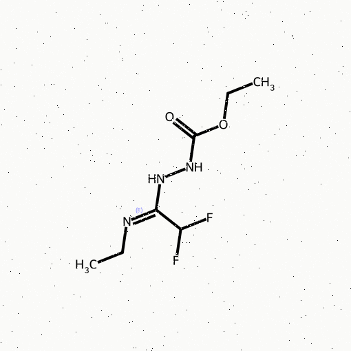 CC/N=C(/NNC(=O)OCC)C(F)F